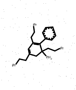 CC(C)CCC1=CC(CCC(C)C)=C(c2ccccc2)C(P)(CCC(C)C)C1